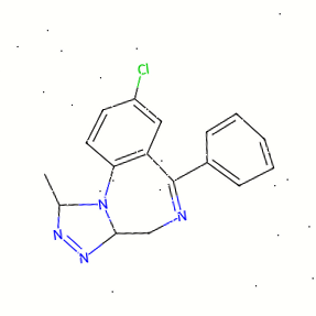 CC1N=NC2CN=C(c3ccccc3)c3cc(Cl)ccc3N12